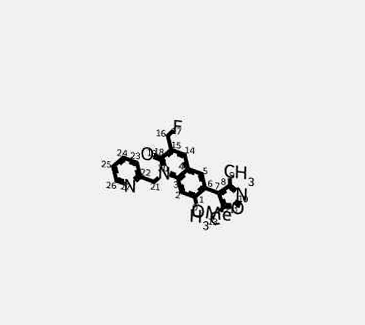 COc1cc2c(cc1-c1c(C)noc1C)cc(CF)c(=O)n2Cc1ccccn1